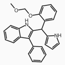 COCOc1ccccc1C(c1ccc[nH]1)c1[nH]c2ccccc2c1-c1ccccc1